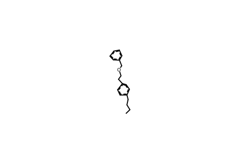 CCCCc1ccc(CCOCc2ccccc2)cc1